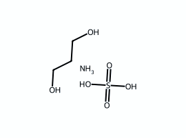 N.O=S(=O)(O)O.OCCCO